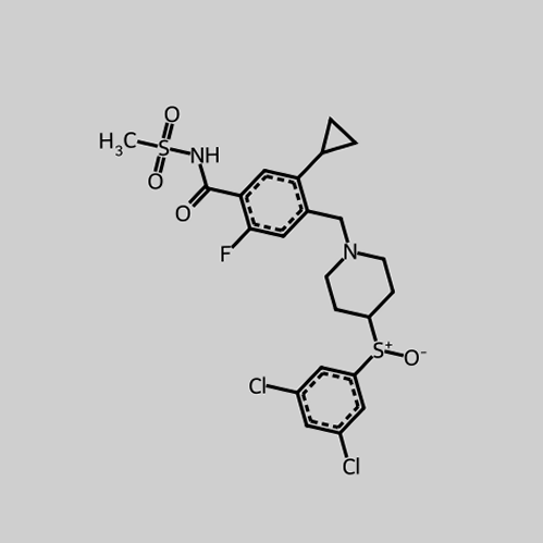 CS(=O)(=O)NC(=O)c1cc(C2CC2)c(CN2CCC([S+]([O-])c3cc(Cl)cc(Cl)c3)CC2)cc1F